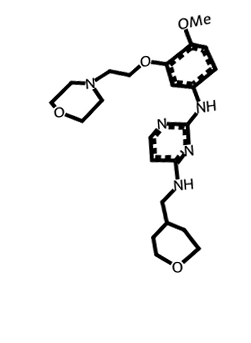 COc1ccc(Nc2nccc(NCC3CCOCC3)n2)cc1OCCN1CCOCC1